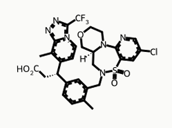 Cc1ccc([C@H](CC(=O)O)c2ccn3c(C(F)(F)F)nnc3c2C)cc1CN1C[C@H]2COCCN2c2ncc(Cl)cc2S1(=O)=O